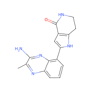 Cc1nc2cccc(-c3cc4c([nH]3)CCNC4=O)c2nc1N